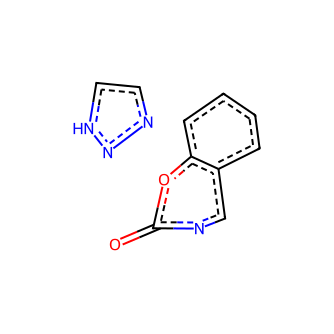 O=c1ncc2ccccc2o1.c1c[nH]nn1